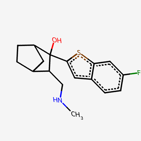 CNCC1C2CCC(C2)C1(O)c1cc2ccc(F)cc2s1